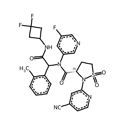 Cc1ccccc1C(C(=O)NC1CC(F)(F)C1)N(C(=O)[C@@H]1CCS(=O)(=O)N1c1cc(C#N)ccn1)c1cncc(F)c1